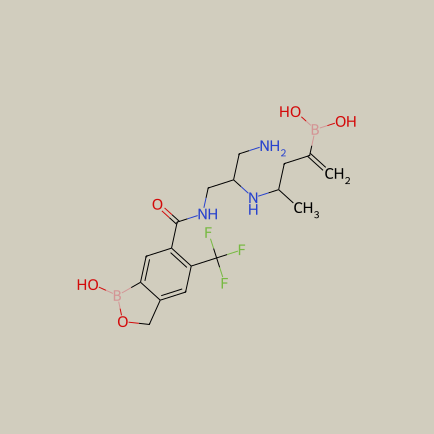 C=C(CC(C)NC(CN)CNC(=O)c1cc2c(cc1C(F)(F)F)COB2O)B(O)O